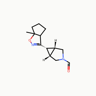 CC12CCCC1C([C@@H]1[C@@H]3CN(C=O)C[C@@H]31)=NO2